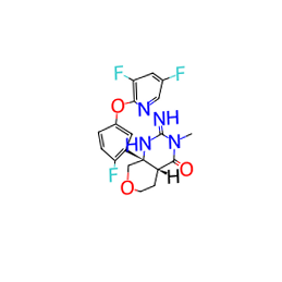 CN1C(=N)N[C@@]2(c3cc(Oc4ncc(F)cc4F)ccc3F)COCC[C@H]2C1=O